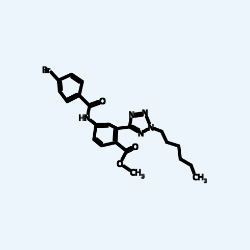 CCCCCCn1nnc(-c2cc(NC(=O)c3ccc(Br)cc3)ccc2C(=O)OC)n1